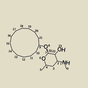 CNC1CC(C)O[C@@H](OC2CCCCCCCCCCCC2)C1O